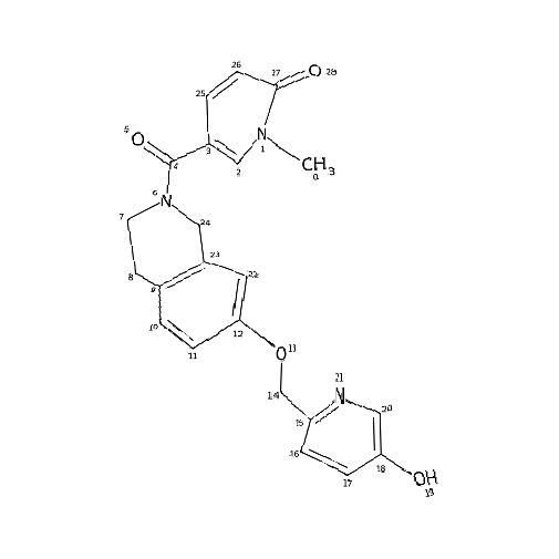 Cn1cc(C(=O)N2CCc3ccc(OCc4ccc(O)cn4)cc3C2)ccc1=O